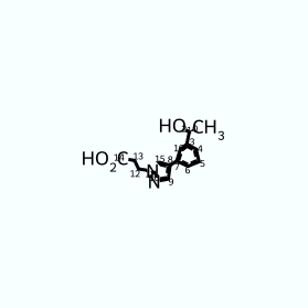 C[C@@H](O)c1cccc(-c2cnn(CCC(=O)O)c2)c1